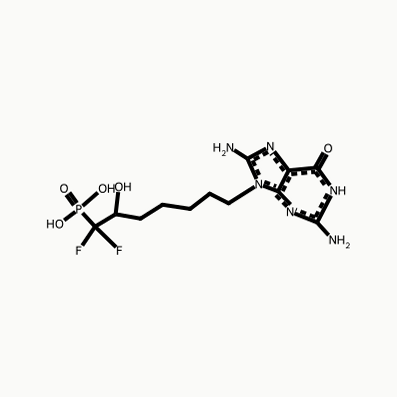 Nc1nc2c(nc(N)n2CCCCCC(O)C(F)(F)P(=O)(O)O)c(=O)[nH]1